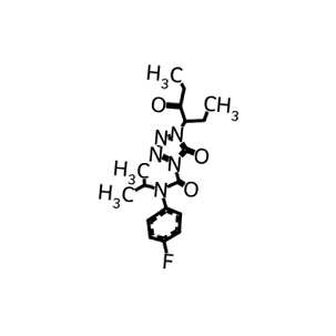 CCC(=O)C(CC)n1nnn(C(=O)N(c2ccc(F)cc2)C(C)C)c1=O